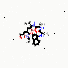 CCCC[C@H](NC(=O)C(C)Nc1cccc2ccccc12)C(=O)N[C@@H](CC(C)C)[C@@H](O)CC(CC(O)CO)C(=O)NCC(C)C